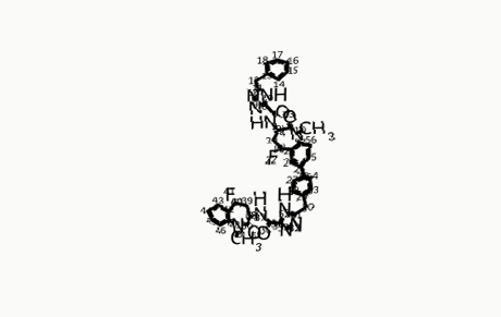 CN1C(=O)[C@H](NC(=O)c2nnc(Cc3ccccc3)[nH]2)C[C@@H](F)c2cc(-c3ccc(Cc4nnc(C(=O)N[C@H]5C[C@H](F)c6ccccc6N(C)C5=O)[nH]4)cc3)ccc21